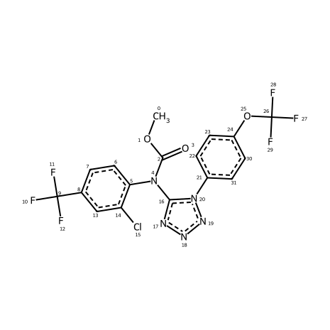 COC(=O)N(c1ccc(C(F)(F)F)cc1Cl)c1nnnn1-c1ccc(OC(F)(F)F)cc1